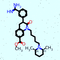 COC(=O)c1ccc2c(c1)N(CCCCCN1[C@H](C)CCC[C@@H]1C)C(=O)C(c1cccc(C(=N)N)c1)C2